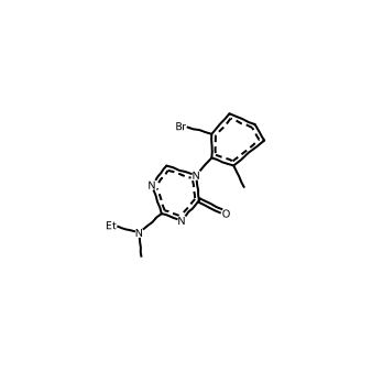 CCN(C)c1ncn(-c2c(C)cccc2Br)c(=O)n1